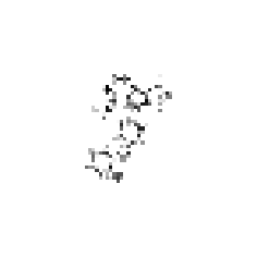 CC1OCc2c1c1ncnc(N)c1n2-c1ccc(Oc2ccccc2F)cc1